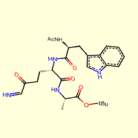 CC(=O)N[C@@H](Cc1c[nH]c2ccccc12)C(=O)N[C@@H](CCC(=O)C=N)C(=O)N[C@@H](C)C(=O)OC(C)(C)C